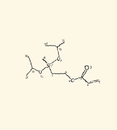 C=CC(=O)OCC[Si](C)(OC(C)C)OC(C)C